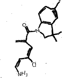 C=C(/C=C(Cl)\C=C/N)C(=O)N1CC(C)(C)c2cc(F)ccc21